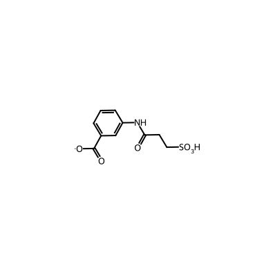 [O]C(=O)c1cccc(NC(=O)CCS(=O)(=O)O)c1